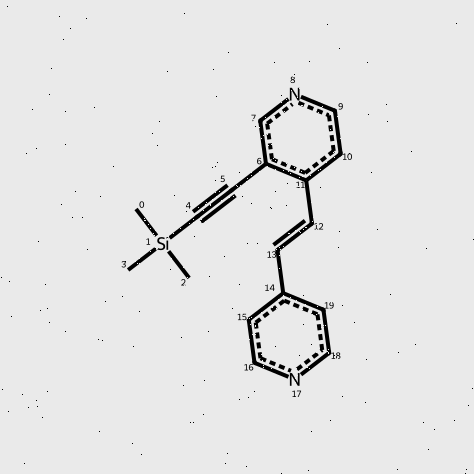 C[Si](C)(C)C#Cc1cnccc1C=Cc1ccncc1